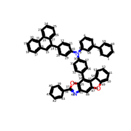 c1ccc(-c2cccc(N(c3ccc(-c4cc5ccccc5c5ccccc45)cc3)c3ccc(-c4c5oc(-c6ccccc6)nc5cc5oc6ccccc6c45)cc3)c2)cc1